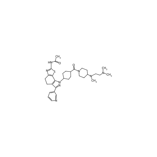 CC(=O)Nc1nc2c(s1)-c1c(c(-c3cccnc3)nn1C1CCC(C(=O)N3CCC(N(C)CCN(C)C)CC3)CC1)CC2